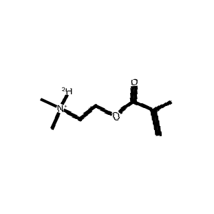 [2H][N+](C)(C)CCOC(=O)C(=C)C